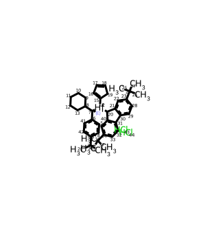 CC(C)c1ccc(/[C](C2CCCCC2)=[Hf](/[C]2=CC=CC2)[CH]2c3cc(C(C)(C)C)ccc3-c3ccc(C(C)(C)C)cc32)cc1.Cl.Cl